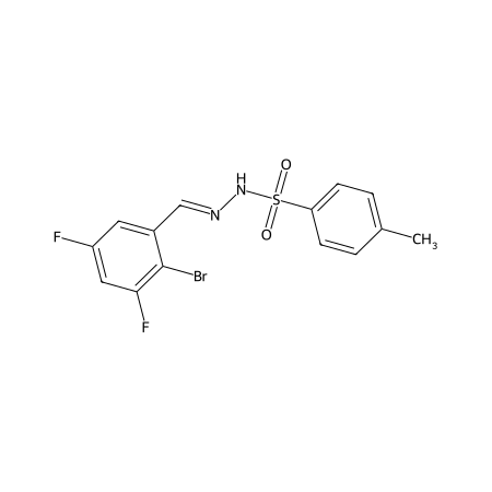 Cc1ccc(S(=O)(=O)N/N=C/c2cc(F)cc(F)c2Br)cc1